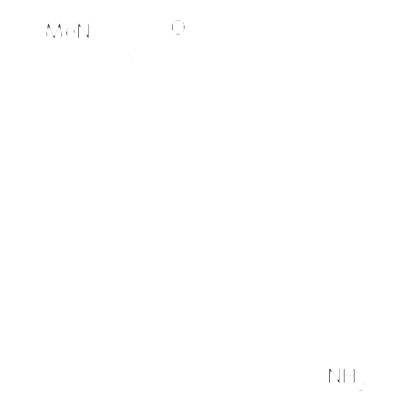 CNC(=O)CCCCCCCN